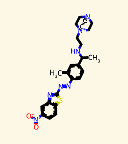 Cc1cc(C(C)NCC[N+]23CCN(CC2)CC3)ccc1N=Nc1nc2cc([N+](=O)[O-])ccc2s1